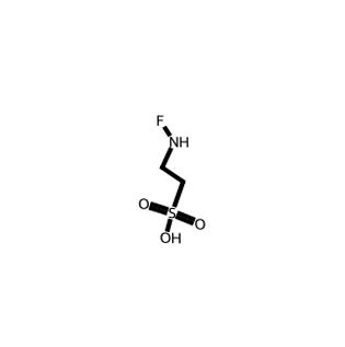 O=S(=O)(O)CCNF